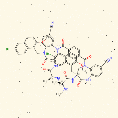 CN[C@@H](C)C(=O)N[C@H]1CN(C(=O)c2ccc(C(=O)N3C[C@](Cc4c(OC)ccc5cc(Br)ccc45)(NC(=O)[C@H](C)NC)C(=O)Nc4ccc(C#N)cc43)cc2)c2cc(C#N)ccc2N(Cc2c(OC)ccc3cc(Br)ccc23)C1=O